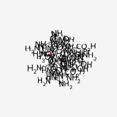 CC[C@H](C)[C@H](NC(=O)[C@@H]1C[C@@H](O)CN1C(=O)[C@@H](N)C(C)C)C(=O)N[C@@H](CCC(=O)O)C(=O)N[C@@H](Cc1ccc(O)cc1)C(=O)N[C@@H](CO)C(=O)N[C@@H](CC(N)=O)C(=O)N[C@@H](CCCNC(=N)N)C(=O)N[C@@H](CCN)C(=O)N[C@H](C(=O)N[C@H](CCN)C(=O)N[C@@H](CCCCN)C(=O)N[C@@H](CCN)C(=O)N[C@@H](CCN)C(=O)N[C@@H](CCN)C(=O)N[C@@H](Cc1ccc(O)cc1)C(=O)O)[C@@H](C)O